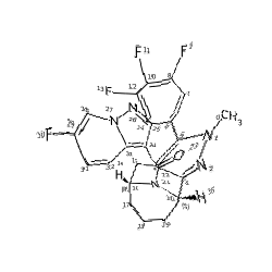 Cn1nc2c(c1-c1cc(F)c(F)c(F)c1)C[C@H]1CCC[C@@H]2N1C(=O)c1cnn2cc(F)ccc12